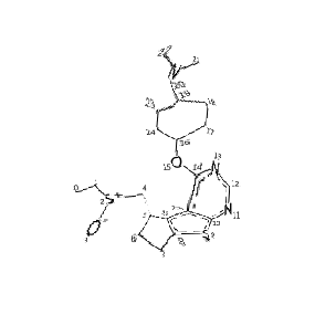 CC[S+]([O-])C[C@H]1CCc2sc3ncnc(OC4CCC(N(C)C)CC4)c3c21